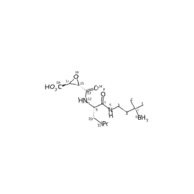 BC(C)(C)CCNC(=O)[C@H](CC(C)C)NC(=O)[C@H]1O[C@@H]1C(=O)O